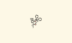 CCOC(=O)C1=CS[C@@H](NC)N1C(O[Si](c1ccccc1)(c1ccccc1)C(C)(C)C)C(C)C